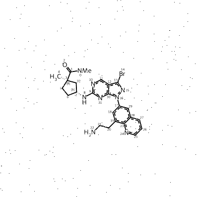 CNC(=O)[C@]1(C)CC[C@@H](Nc2ncc3c(Br)nn(-c4cc(CCN)c5ncccc5c4)c3n2)C1